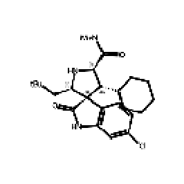 CNC(=O)[C@@H]1N[C@H](CC(C)(C)C)[C@]2(C(=O)Nc3cc(Cl)ccc32)[C@H]1C1CCCCC1